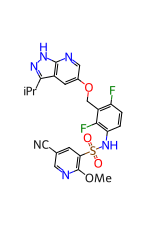 COc1ncc(C#N)cc1S(=O)(=O)Nc1ccc(F)c(COc2cnc3[nH]nc(C(C)C)c3c2)c1F